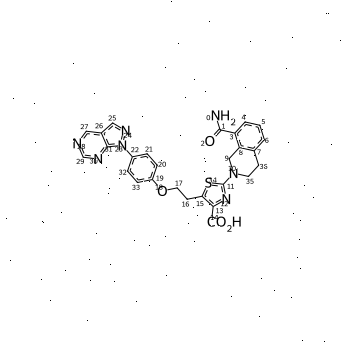 NC(=O)c1cccc2c1CN(c1nc(C(=O)O)c(CCOc3ccc(-n4ncc5cncnc54)cc3)s1)CC2